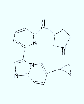 c1cc(N[C@@H]2CCNC2)nc(-c2cnc3ccc(C4CC4)cn23)c1